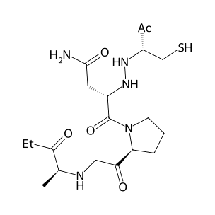 CCC(=O)[C@H](C)NCC(=O)[C@@H]1CCCN1C(=O)[C@H](CC(N)=O)NN[C@@H](CS)C(C)=O